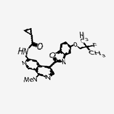 CNc1ncc(-c2nc3cc(OCC(C)(C)F)ccc3o2)c2cc(NC(=O)C3CC3)ncc12